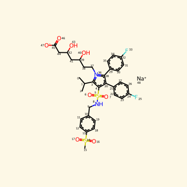 CC(C)c1c(S(=O)(=O)NCc2ccc(S(C)(=O)=O)cc2)c(-c2ccc(F)cc2)c(-c2ccc(F)cc2)n1CCC(O)CC(O)CC(=O)[O-].[Na+]